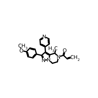 C=CC(=O)N1CCn2nc(-c3ccc(OC)cc3)c(-c3ccncc3)c2C1C